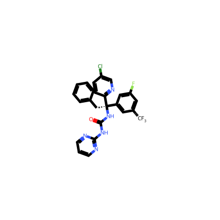 O=C(Nc1ncccn1)N[C@](Cc1ccccc1)(c1cc(F)cc(C(F)(F)F)c1)c1ccc(Cl)cn1